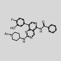 CC(=O)N1CCC(Nc2ncc3c(NC(=O)c4ccccc4)ncc(-c4ccc(F)c(O)c4)c3n2)CC1